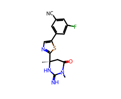 CN1C(=N)N[C@@](C)(c2ncc(-c3cc(F)cc(C#N)c3)s2)CC1=O